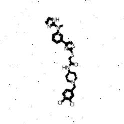 CN(c1cccc(-c2csc(SCC(=O)NC3CCN(Cc4ccc(Cl)c(Cl)c4)CC3)n2)c1)c1ncc[nH]1